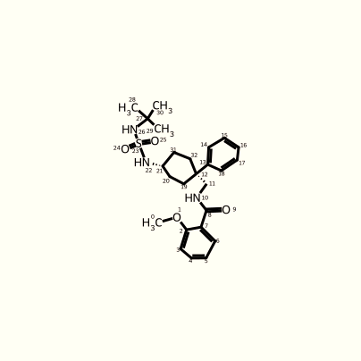 COc1ccccc1C(=O)NC[C@]1(c2ccccc2)CC[C@H](NS(=O)(=O)NC(C)(C)C)CC1